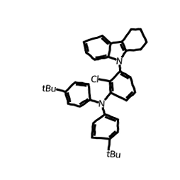 CC(C)(C)c1ccc(N(c2ccc(C(C)(C)C)cc2)c2cccc(-n3c4c(c5ccccc53)CCCC4)c2Cl)cc1